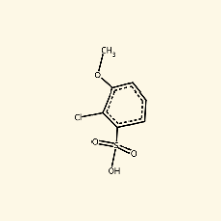 COc1cccc(S(=O)(=O)O)c1Cl